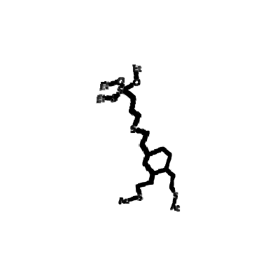 CCO[Si](CCCSCCC1CCC(CCSC(C)=O)C(CCSC(C)=O)C1)(OCC)OCC